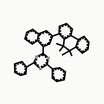 CC1(C)c2ccccc2-c2cccc(-c3cc(-c4nc(-c5ccccc5)nc(-c5ccccc5)n4)c4ccccc4c3)c2C1(C)C